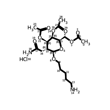 CC(=O)OC[C@H]1O[C@@H](OCCCCCN)[C@H](CC(N)=O)[C@@H](OC(C)=O)[C@H]1OC(C)=O.Cl